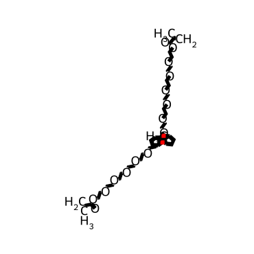 C=C(C)C(=O)OCCOCCOCCOCCOCCOCCOC1=CC2=CC=C1C2C1(C)C2=CC=C1C(OCCOCCOCCOCCOCCOCCOC(=O)C(=C)C)=C2